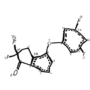 O=C1c2[c]ccc(Oc3cc(F)cc(F)c3)c2CC1(F)F